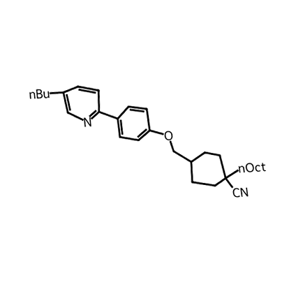 CCCCCCCCC1(C#N)CCC(COc2ccc(-c3ccc(CCCC)cn3)cc2)CC1